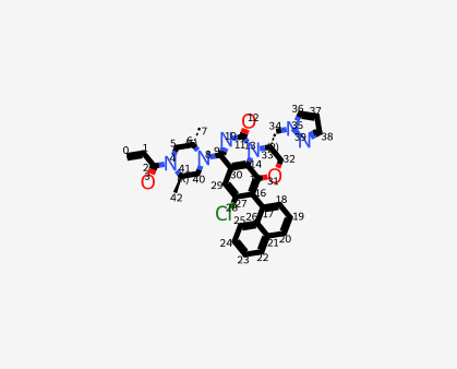 C=CC(=O)N1C[C@H](C)N(c2nc(=O)n3c4c(c(-c5cccc6ccccc56)c(Cl)cc24)OC[C@H]3Cn2cccn2)C[C@H]1C